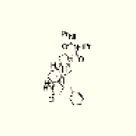 CC(C)NC(=O)N(C(=O)[C@H]1CC[C@H]2[C@@H]3CC[C@H]4NC(=O)CC(Cc5ccccc5)[C@]4(C)[C@H]3CC[C@]12C)C(C)C